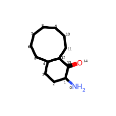 NC1CCC2CCCCCCCC2C1=O